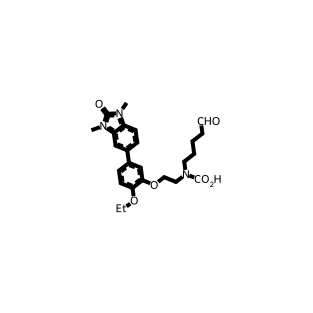 CCOc1ccc(-c2ccc3c(c2)n(C)c(=O)n3C)cc1OCCN(CCCCC=O)C(=O)O